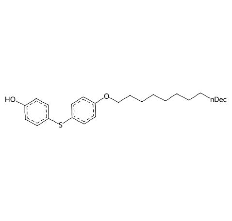 CCCCCCCCCCCCCCCCCCOc1ccc(Sc2ccc(O)cc2)cc1